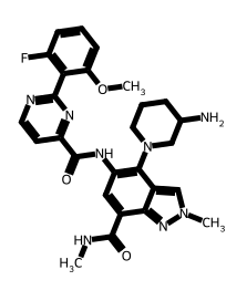 CNC(=O)c1cc(NC(=O)c2ccnc(-c3c(F)cccc3OC)n2)c(N2CCCC(N)C2)c2cn(C)nc12